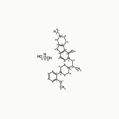 COc1ccccc1N1CCN(C(C)Cn2cnc3sc4c(c3c2=O)CCN(C)C4)CC1.Cl.Cl.Cl